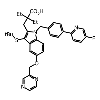 CCC(CC)(Cc1c(SC(C)(C)C)c2cc(OCc3cnccn3)ccc2n1Cc1ccc(-c2ccc(F)cn2)cc1)C(=O)O